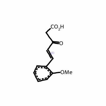 COc1ccccc1/C=C/C(=O)CC(=O)O